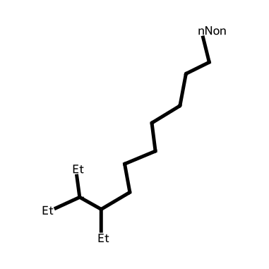 CCCCCCCCCCCCCCCCC(CC)[C](CC)CC